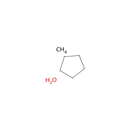 C.C1CCCC1.O